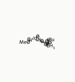 COC(=O)CCCCC(=O)OCCOCCON(C)C(=O)OC(C)(C)C